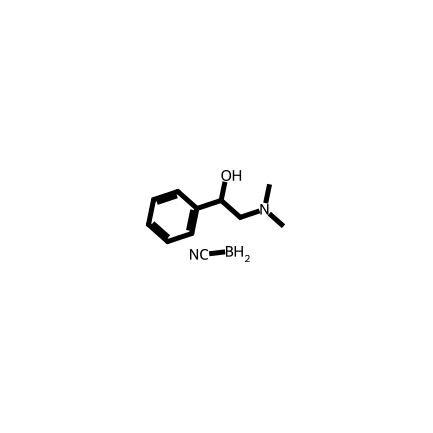 BC#N.CN(C)CC(O)c1ccccc1